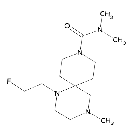 CN1CCN(CCF)C2(CCN(C(=O)N(C)C)CC2)C1